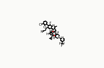 Cc1nc2c(F)c(-c3cccc(Cl)c3Cl)c(CCC#N)cc2c2c1cc([C@H]1[C@H]3C[C@H](CN(c4cc(C(F)(F)F)ccn4)C3)N1C(=O)C1CC1)n2[C@H]1[C@H]2CN[C@@H]1C2